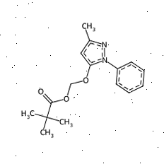 Cc1cc(OCOC(=O)C(C)(C)C)n(-c2ccccc2)n1